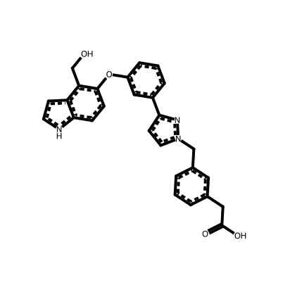 O=C(O)Cc1cccc(Cn2ccc(-c3cccc(Oc4ccc5[nH]ccc5c4CO)c3)n2)c1